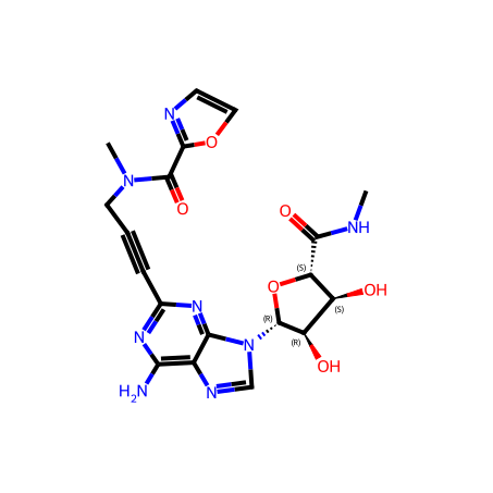 CNC(=O)[C@H]1O[C@@H](n2cnc3c(N)nc(C#CCN(C)C(=O)c4ncco4)nc32)[C@H](O)[C@@H]1O